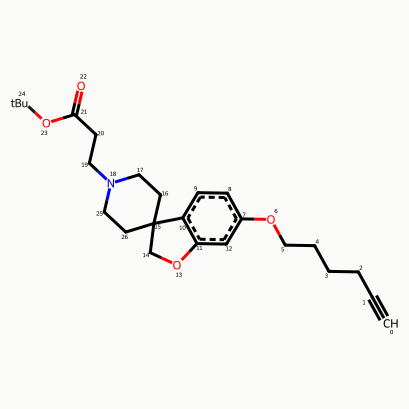 C#CCCCCOc1ccc2c(c1)OCC21CCN(CCC(=O)OC(C)(C)C)CC1